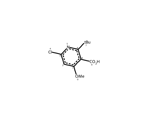 COc1cc(Cl)nc(C(C)(C)C)c1C(=O)O